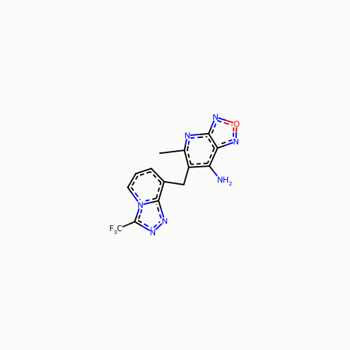 Cc1nc2nonc2c(N)c1Cc1cccn2c(C(F)(F)F)nnc12